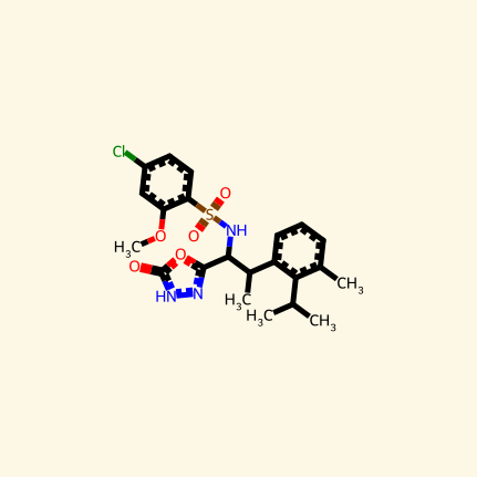 COc1cc(Cl)ccc1S(=O)(=O)NC(c1n[nH]c(=O)o1)C(C)c1cccc(C)c1C(C)C